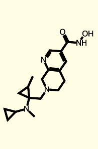 CC1CC1(CN1CCc2cc(C(=O)NO)cnc2C1)N(C)C1CC1